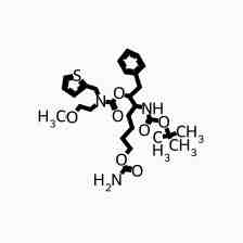 COCCN(Cc1cccs1)C(=O)OC(Cc1ccccc1)C(CCCCOC(N)=O)NC(=O)OC(C)(C)C